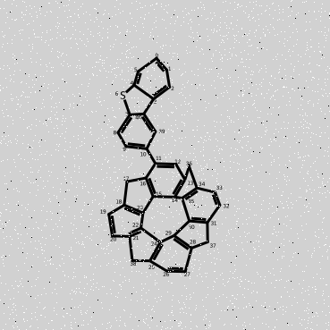 c1ccc2c(c1)sc1ccc(-c3cc4c5c6c3Cc3ccc7c(c3-6)-c3c(ccc6c3-c3c(ccc(c3-5)C4)C6)C7)cc12